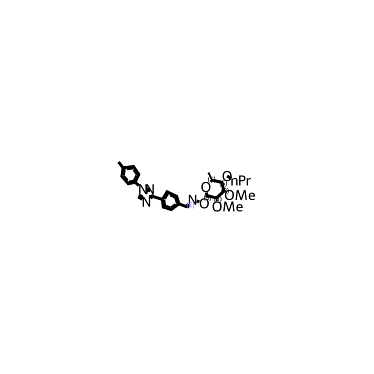 CCCO[C@@H]1[C@@H](OC)[C@@H](OC)[C@H](O/N=C/c2ccc(-c3ncn(-c4ccc(C)cc4)n3)cc2)O[C@H]1C